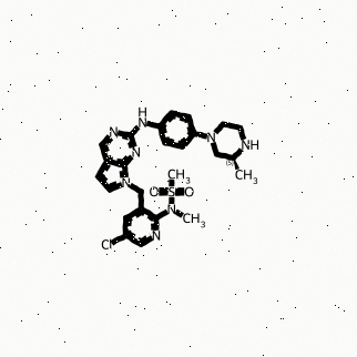 C[C@H]1CN(c2ccc(Nc3ncc4ccn(Cc5cc(Cl)cnc5N(C)S(C)(=O)=O)c4n3)cc2)CCN1